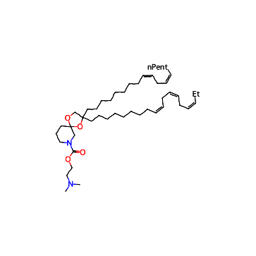 CC/C=C\C/C=C\C/C=C\CCCCCCCCC1(CCCCCCCC/C=C\C/C=C\CCCCC)COC2(CCCN(C(=O)OCCN(C)C)C2)O1